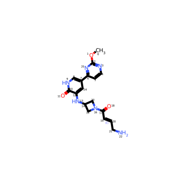 COc1nccc(-c2c[nH]c(=O)c(NC3CN(C(=O)/C=C/CN)C3)c2)n1